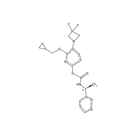 O=C(N[C@H](c1cccnc1)C(F)(F)F)Oc1ccc(N2CC(F)(F)C2)c(OCC2CC2)n1